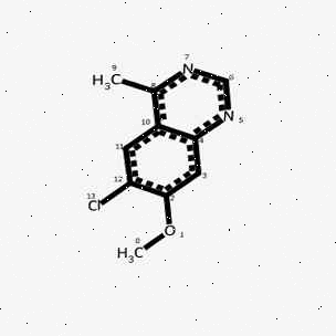 COc1cc2ncnc(C)c2cc1Cl